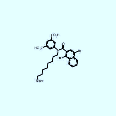 CCCCCCCCCCCCCCCCCCN(C(=O)c1cc(Br)c2ccccc2c1O)c1cc(C(=O)O)cc(C(=O)O)c1